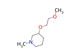 COCCOC1CCCN(C)C1